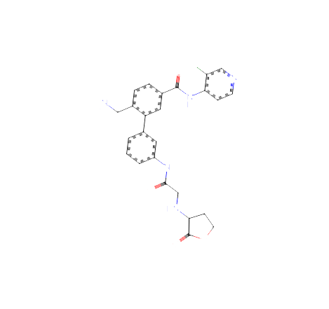 NCc1ccc(C(=O)Nc2ccncc2F)cc1-c1cccc(NC(=O)CNC2CCOC2=O)c1